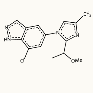 COC(C)c1nc(C(F)(F)F)cn1-c1cc(Cl)c2[nH]ncc2c1